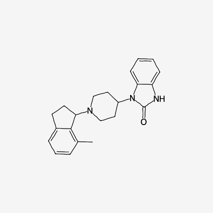 Cc1cccc2c1C(N1CCC(n3c(=O)[nH]c4ccccc43)CC1)CC2